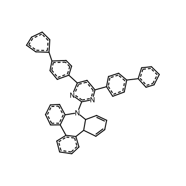 C1=CC2c3ccccc3-c3ccccc3N(c3nc(-c4ccc(-c5ccccc5)cc4)cc(-c4ccc(-c5ccccc5)cc4)n3)C2C=C1